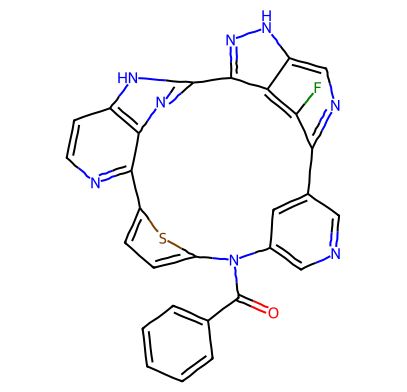 O=C(c1ccccc1)n1c2cncc(c2)c2ncc3[nH]nc(c4nc5c(ccnc5c5ccc1s5)[nH]4)c3c2F